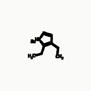 CCc1cc[nH]c1CC.[Ru]